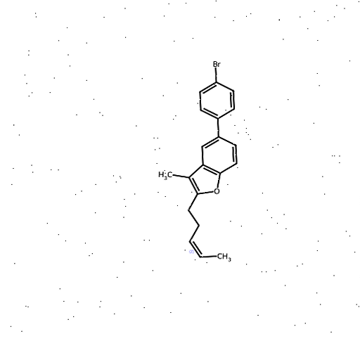 C/C=C\CCc1oc2ccc(-c3ccc(Br)cc3)cc2c1C